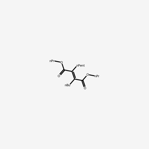 CCCCCC(C(=O)OCCC)=C(CCCC)C(=O)OCCC